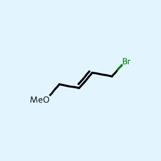 [CH2]OCC=CCBr